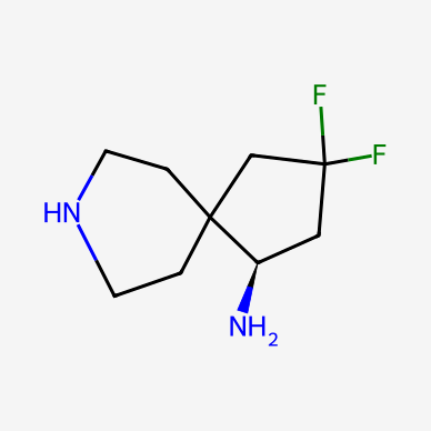 N[C@@H]1CC(F)(F)CC12CCNCC2